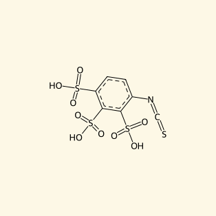 O=S(=O)(O)c1ccc(N=C=S)c(S(=O)(=O)O)c1S(=O)(=O)O